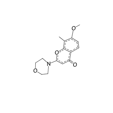 COc1ccc2c(=O)cc(N3CCOCC3)oc2c1C